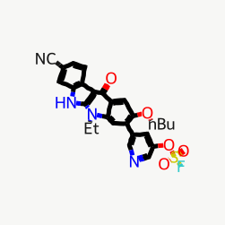 CCCCOc1cc2c(=O)c3c4ccc(C#N)cc4[nH]c3n(CC)c2cc1-c1cncc(OS(=O)(=O)F)c1